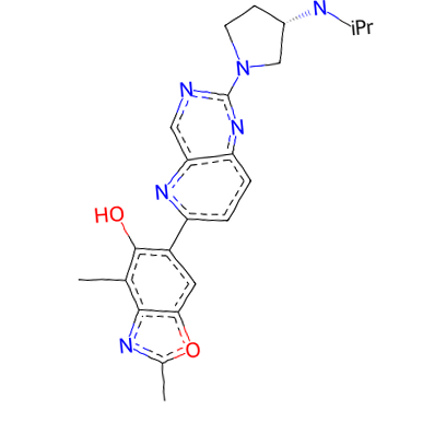 Cc1nc2c(C)c(O)c(-c3ccc4nc(N5CC[C@H](NC(C)C)C5)ncc4n3)cc2o1